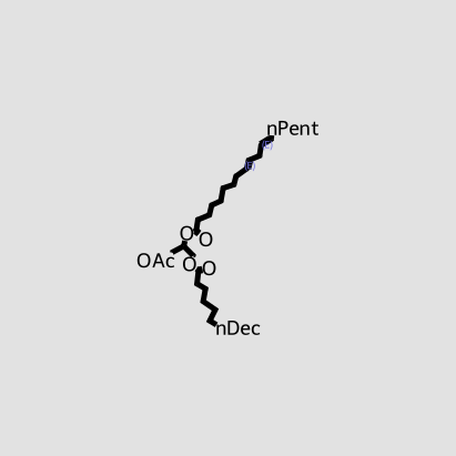 CCCCC/C=C/C/C=C/CCCCCCCC(=O)OC(COC(C)=O)COC(=O)CCCCCCCCCCCCCCC